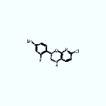 Fc1cc(Br)ccc1C1CNc2ccc(Cl)nc2O1